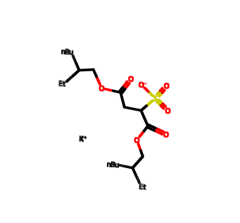 CCCCC(CC)COC(=O)CC(C(=O)OCC(CC)CCCC)S(=O)(=O)[O-].[K+]